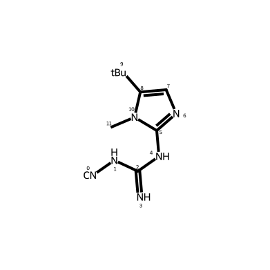 [C-]#[N+]NC(=N)Nc1ncc(C(C)(C)C)n1C